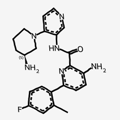 Cc1cc(F)ccc1-c1ccc(N)c(C(=O)Nc2cnccc2N2CCC[C@H](N)C2)n1